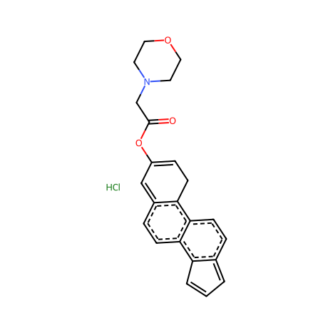 Cl.O=C(CN1CCOCC1)OC1=CCc2c(ccc3c4c(ccc23)=CC=C4)=C1